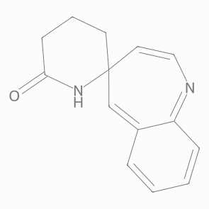 O=C1CCCC2(C=CN=c3ccccc3=C2)N1